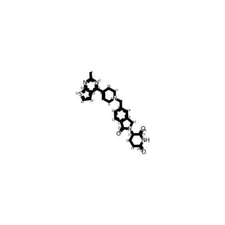 Cc1nc(C2=CCN(Cc3ccc4c(c3)CN(C3CCC(=O)NC3=O)C4=O)CC2)c2ccsc2n1